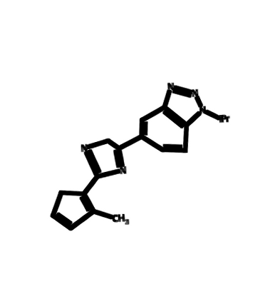 CC1=C(C2=NCC(c3ccc4c(c3)nnn4C(C)C)=N2)CC=C1